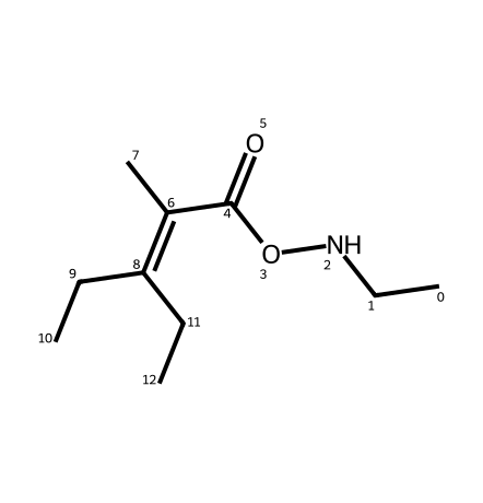 CCNOC(=O)C(C)=C(CC)CC